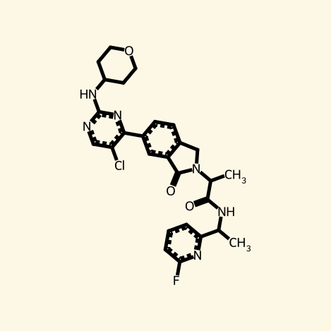 CC(NC(=O)C(C)N1Cc2ccc(-c3nc(NC4CCOCC4)ncc3Cl)cc2C1=O)c1cccc(F)n1